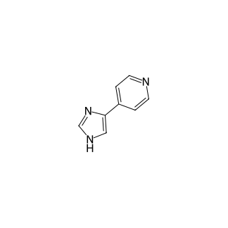 c1cc(-c2c[nH]cn2)ccn1